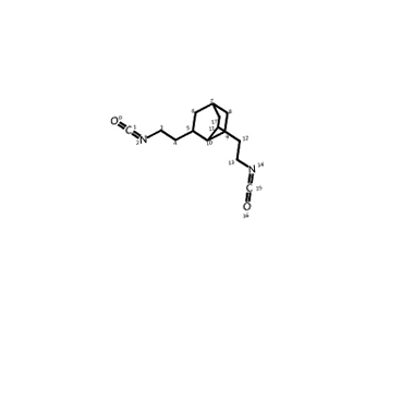 O=C=NCCC1CC2CCC1C(CCN=C=O)C2